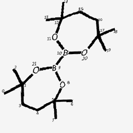 CC1(C)CCC(C)(C)OB(B2OC(C)(C)CCC(C)(C)O2)O1